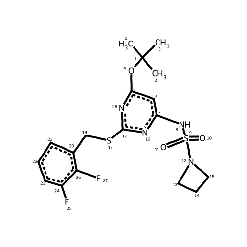 CC(C)(C)Oc1cc(NS(=O)(=O)N2CCC2)nc(SCc2cccc(F)c2F)n1